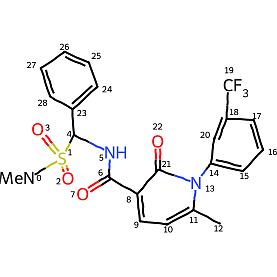 CNS(=O)(=O)C(NC(=O)c1ccc(C)n(-c2cccc(C(F)(F)F)c2)c1=O)c1ccccc1